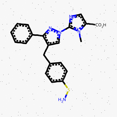 Cn1c(C(=O)O)cnc1-n1cc(Cc2ccc(SN)cc2)c(-c2ccccc2)n1